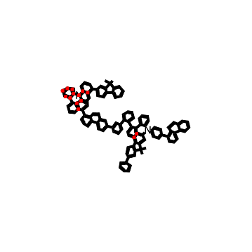 CC1(C)c2ccccc2-c2ccc(-c3cccc(N(c4ccc(-c5cccc6c5ccc5cc(-c7cccc(-c8ccccc8-c8ccccc8-c8ccccc8N(c8ccc(-c9cccc%10c9ccc9ccccc9%10)cc8)c8ccc9c(c8)C(C)(C)c8cc(-c%10ccccc%10)ccc8-9)c7)ccc56)cc4)c4ccccc4-c4ccccc4-c4ccccc4-c4ccccc4)c3)cc21